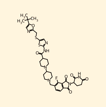 CC(C)(C)c1cnc(CSc2cnc(NC(=O)C3CCN(C4CCN(Cc5ccc6c(c5F)C(=O)N(C5CCC(=O)NC5=O)C6=O)CC4)CC3)s2)o1